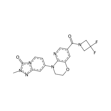 Cn1nc2cc(N3CCOc4cc(C(=O)N5CC(F)(F)C5)cnc43)ccn2c1=O